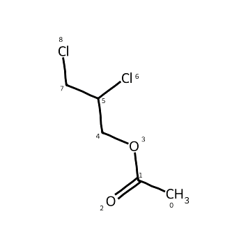 CC(=O)OCC(Cl)CCl